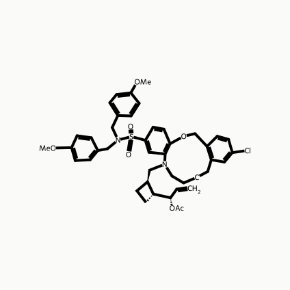 C=C[C@H](OC(C)=O)[C@@H]1CC[C@H]1CN1CCCCc2cc(Cl)ccc2COc2ccc(S(=O)(=O)N(Cc3ccc(OC)cc3)Cc3ccc(OC)cc3)cc21